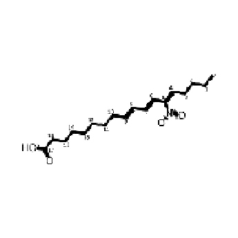 CCCCC=C(C=CC=CCCCCCCCC(=O)O)[N+](=O)[O-]